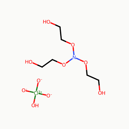 OCCON(OCCO)OCCO.[O-][Cl+3]([O-])([O-])O